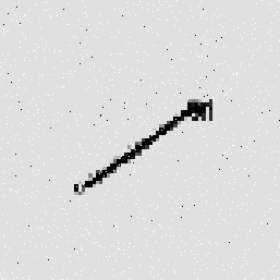 O=P(O)(O)CCCCCCCCCCCCCCCCCCCCCCCCCCCCCCCCCCl